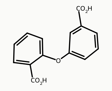 O=C(O)c1cccc(Oc2ccccc2C(=O)O)c1